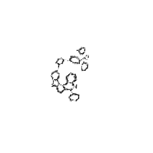 O=P(c1ccccc1)(c1ccccc1)c1ccc(-c2cccc(-c3ccc4sc5ccc6c(-c7ccccc7)nc7ccccc7c6c5c4c3)c2)cc1